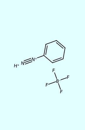 F[B-](F)(F)F.N#[N+]c1ccccc1.[H+]